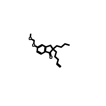 C=CCCCC1(CCCC)Cc2cc(OCOC)ccc2C1=O